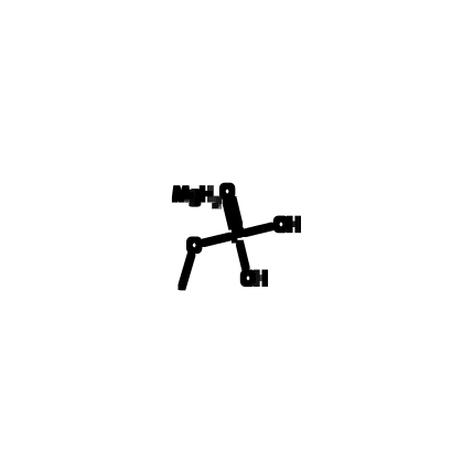 COP(=O)(O)O.[MgH2]